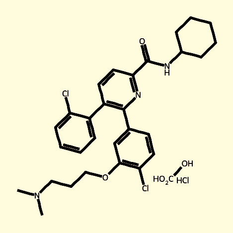 CN(C)CCCOc1cc(-c2nc(C(=O)NC3CCCCC3)ccc2-c2ccccc2Cl)ccc1Cl.Cl.O=C(O)O